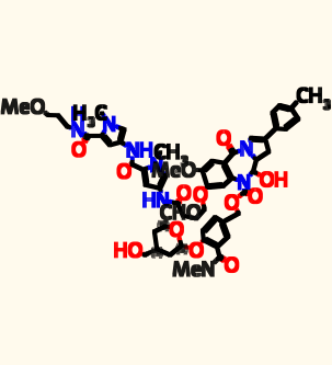 CNC(=O)c1cc(COC(=O)N2c3cc(OCCCC(=O)Nc4cc(C(=O)Nc5cc(C(=O)NCCCOC)n(C)c5)n(C)c4)c(OC)cc3C(=O)N3C=C(c4ccc(C)cc4)CC3C2O)ccc1O[C@H]1C[C@@H](CO)C[C@@H](C=O)O1